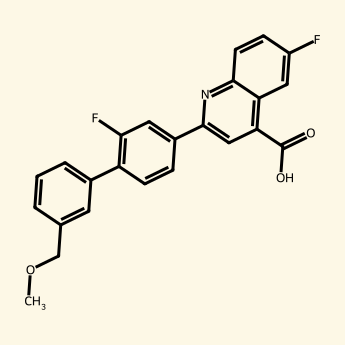 COCc1cccc(-c2ccc(-c3cc(C(=O)O)c4cc(F)ccc4n3)cc2F)c1